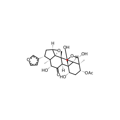 CC(=O)O[C@@H]1C[C@H](O)[C@@]23CO[C@H](O)[C@]1(C)[C@@H]2CC(O)[C@]1(C)[C@@H]3C(=O)[C@H](O)[C@@]2(C)[C@H](c3ccoc3)C[C@H]3O[C@@]321